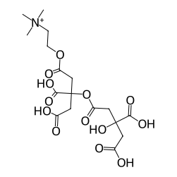 C[N+](C)(C)CCOC(=O)CC(CC(=O)O)(OC(=O)CC(O)(CC(=O)O)C(=O)O)C(=O)O